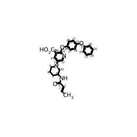 C/C=C/C(=O)NC1CCCN(c2cnc(Oc3ccc(Oc4ccccc4)cc3)c(C(=O)O)c2)C1